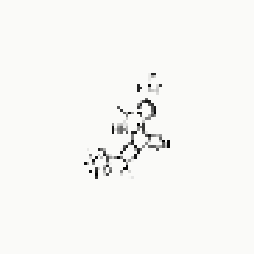 COc1cc2c(cc1B1OC(C)(C)C(C)(C)O1)c(NC(C)c1cccc(C(F)(F)F)c1)nc1cncn12